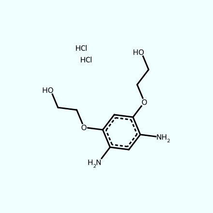 Cl.Cl.Nc1cc(N)c(OCCO)cc1OCCO